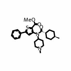 COC(=O)c1sc(-c2ccccc2)cc1N(C(=O)[C@H]1CC[C@H](C)CC1)C1CCN(C)CC1